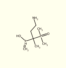 C=[PH](O)C(C)(CCN)P(C)(C)=O